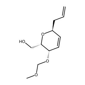 C=CC[C@H]1C=C[C@H](OCOC)[C@H](CO)O1